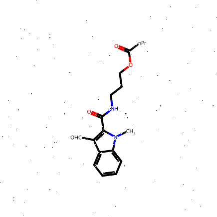 CCCC(=O)OCCCNC(=O)c1c(C=O)c2ccccc2n1C